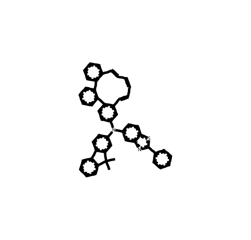 CC1(C)c2ccccc2-c2ccc(N(c3ccc4c(c3)/C=C/C=C\C=C\c3ccccc3-c3ccccc3-4)c3ccc4sc(-c5ccccc5)nc4c3)cc21